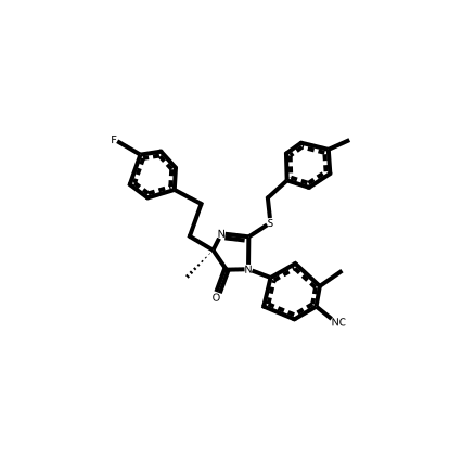 [C-]#[N+]c1ccc(N2C(=O)[C@@](C)(CCc3ccc(F)cc3)N=C2SCc2ccc(C)cc2)cc1C